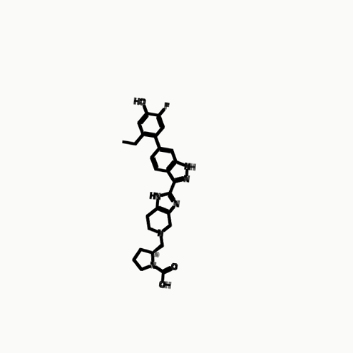 CCc1cc(O)c(F)cc1-c1ccc2c(-c3nc4c([nH]3)CCN(C[C@@H]3CCCN3C(=O)O)C4)n[nH]c2c1